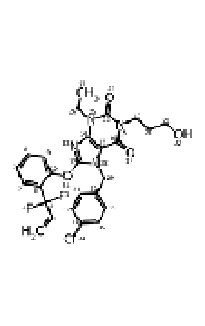 C=CC(F)(F)c1ccccc1Oc1nc2c(c(=O)n(CCCO)c(=O)n2CC)n1Cc1ccc(Cl)cc1